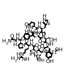 CC(C)C[C@H](NC(=O)[C@@H](COC(C)(C)C)NC(=O)[C@H](Cc1ccc(O)cc1)NC(=O)[C@H](CO)NC(=O)[C@H](Cc1c[nH]c2ccccc12)NC(=O)[C@H](Cc1c[nH]cn1)NC(=O)[C@@H]1CCC(=O)N1)C(=O)N[C@@H](CCCNC(=N)N)C(=O)N1CCC[C@H]1C(=O)NNC(N)=O.CCO